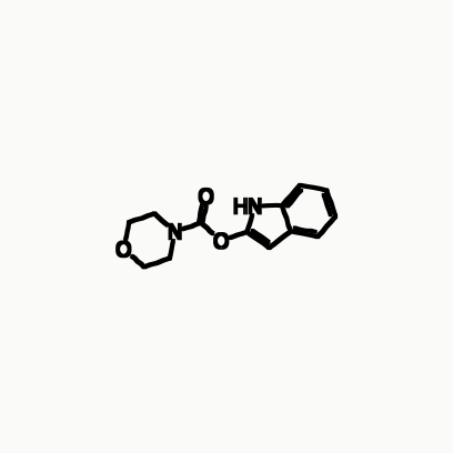 O=C(Oc1cc2ccccc2[nH]1)N1CCOCC1